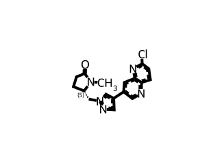 CN1C(=O)CC[C@H]1Cn1cc(-c2cnc3ccc(Cl)nc3c2)cn1